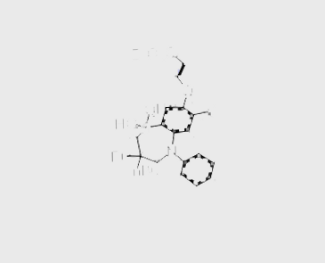 CCCCC1(CC)CN(c2ccccc2)c2cc(Cl)c(O/C=C/C(=O)OCC)cc2S(O)(O)C1